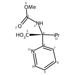 COC(=O)N[C@@](C(=O)O)(c1ccccn1)C(C)C